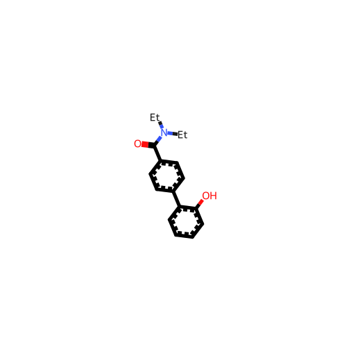 CCN(CC)C(=O)c1ccc(-c2ccccc2O)cc1